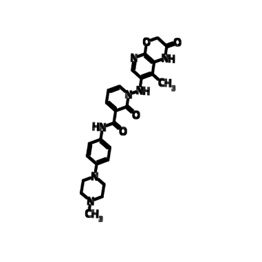 Cc1c(Nn2cccc(C(=O)Nc3ccc(N4CCN(C)CC4)cc3)c2=O)cnc2c1NC(=O)CO2